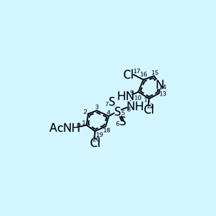 CC(=O)Nc1ccc(S(=S)(=S)NNc2c(Cl)cncc2Cl)cc1Cl